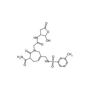 Cc1cccc(S(=O)(=O)NCC2=CCC(C(N)=O)C(=O)N(CC(=O)NC3CC(=O)OC3O)C2)c1